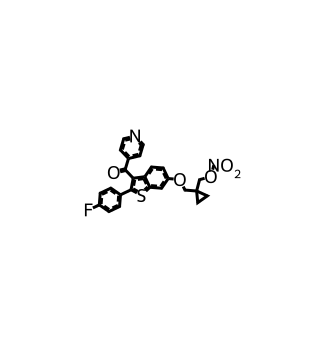 O=C(c1ccncc1)c1c(-c2ccc(F)cc2)sc2cc(OCC3(CO[N+](=O)[O-])CC3)ccc12